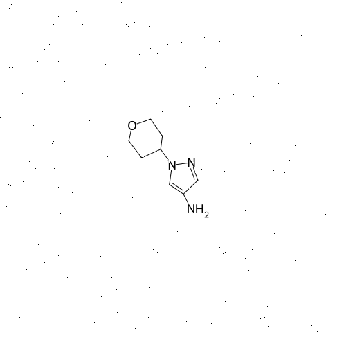 Nc1cnn(C2CCOCC2)c1